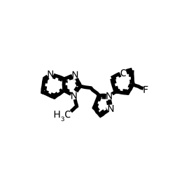 CCn1c(Cc2ccnn2-c2cccc(F)c2)nc2ncccc21